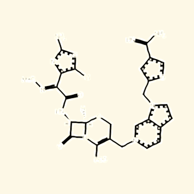 CON=C(C(=O)N[C@@H]1C(=O)N2C(C(=O)[O-])=C(C[n+]3ccc4ccn(Cc5cc(C(=N)N)co5)c4c3)CS[C@H]12)c1nc(N)sc1Cl